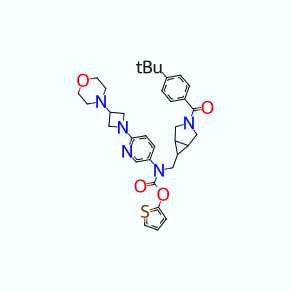 CC(C)(C)c1ccc(C(=O)N2CC3C(C2)C3CN(C(=O)Oc2cccs2)c2ccc(N3CC(N4CCOCC4)C3)nc2)cc1